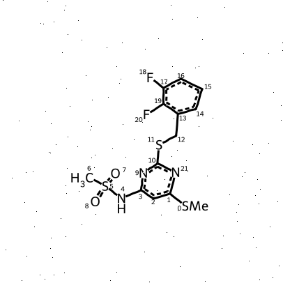 CSc1cc(NS(C)(=O)=O)nc(SCc2cccc(F)c2F)n1